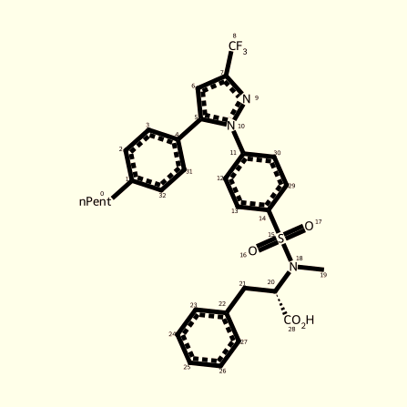 CCCCCc1ccc(-c2cc(C(F)(F)F)nn2-c2ccc(S(=O)(=O)N(C)[C@@H](Cc3ccccc3)C(=O)O)cc2)cc1